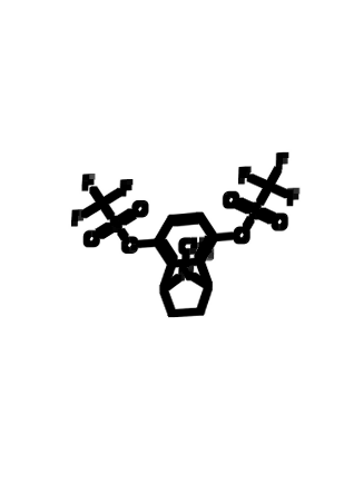 CN1C2CCC1c1c(OS(=O)(=O)C(F)(F)F)ccc(OS(=O)(=O)C(F)(F)F)c12